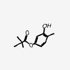 Cc1ccc(OC(=O)C(C)(C)C)cc1O